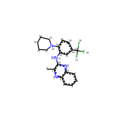 Cc1nc2ccccc2nc1Nc1cc(C(F)(F)F)ccc1N1CCCCC1